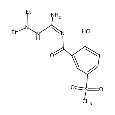 CCN(CC)NC(N)=NC(=O)c1cccc(S(C)(=O)=O)c1.Cl